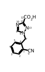 N#Cc1ccccc1Cn1cnc(C(=O)O)n1